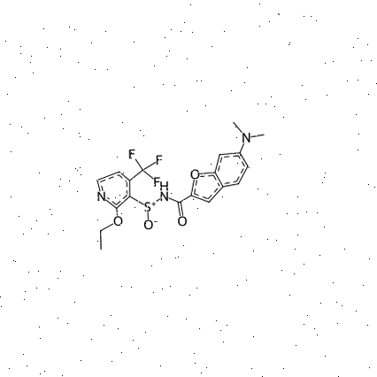 CCOc1nccc(C(F)(F)F)c1[S+]([O-])NC(=O)c1cc2ccc(N(C)C)cc2o1